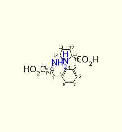 N[C@@H](Cc1ccccc1)C(=O)O.O=C(O)C1CCCN1